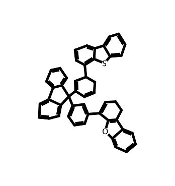 C1=CC(C2(c3cccc(C4=CCCc5c4oc4ccccc54)c3)c3ccccc3-c3ccccc32)=CC(c2cccc3c2sc2ccccc23)C1